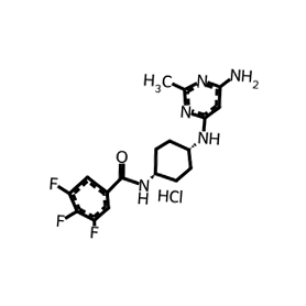 Cc1nc(N)cc(N[C@H]2CC[C@@H](NC(=O)c3cc(F)c(F)c(F)c3)CC2)n1.Cl